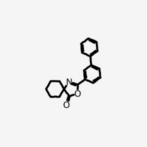 O=C1OC(c2cccc(-c3ccccc3)c2)=NC12CCCCC2